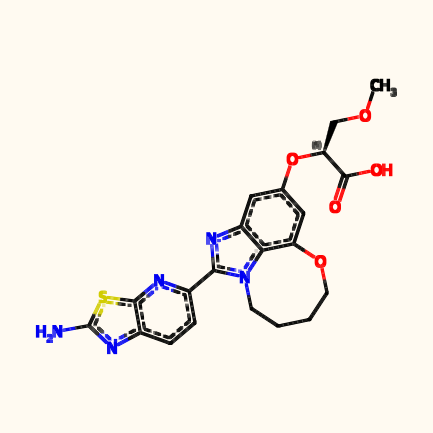 COC[C@H](Oc1cc2c3c(c1)nc(-c1ccc4nc(N)sc4n1)n3CCCCO2)C(=O)O